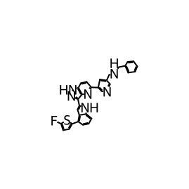 Fc1ccc(-c2cccc3[nH]c(-c4n[nH]c5ccc(-c6cncc(CNCc7ccccc7)c6)nc45)cc23)s1